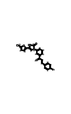 O=C(/C=C/c1ccc(F)cc1)c1cccc(-n2cc(-c3ccc(Cl)o3)[nH]c2=O)c1